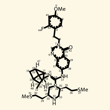 COc1ccc(CCn2cnc3cc(NC(=N[C@H]4C[C@@H]5C[C@H]([C@@H]4C)C5(C)C)N4C[C@H](CCSC)NC[C@@H]4CCSC)ccc3c2=O)c(F)c1